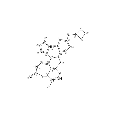 O=C1C=C2C3=C(CNN2F)CC(c2ccc(CN4CCC4)cc2)C(c2ncn[nH]2)C3=CN1